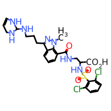 Cn1nc(CCCNC2NC=CCN2)c2cccc(C(=O)NCC(NS(=O)(=O)c3c(Cl)cccc3Cl)C(=O)O)c21